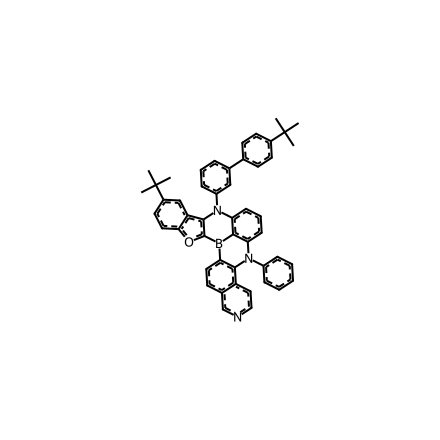 CC(C)(C)c1ccc(-c2cccc(N3c4cccc5c4B(c4ccc6cnccc6c4N5c4ccccc4)c4oc5ccc(C(C)(C)C)cc5c43)c2)cc1